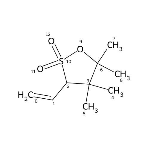 C=CC1C(C)(C)C(C)(C)OS1(=O)=O